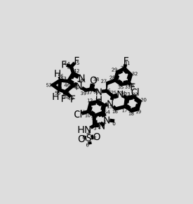 Cn1nc(NS(C)(=O)=O)c2c(Cl)ccc(N3Cc4cccc(Cl)c4N=C3[C@H](Cc3cc(F)cc(F)c3)NC(=O)Cn3nc(C(F)F)c4c3C(F)(F)[C@@H]3C[C@H]43)c21